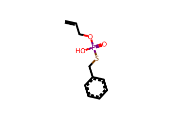 C=CCOP(=O)(O)SCc1ccccc1